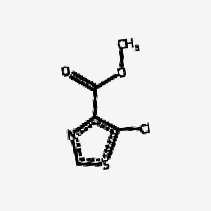 COC(=O)c1ncsc1Cl